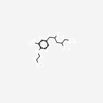 CCC(C)CC(C)Cc1ccc(OCCO)c(C)c1